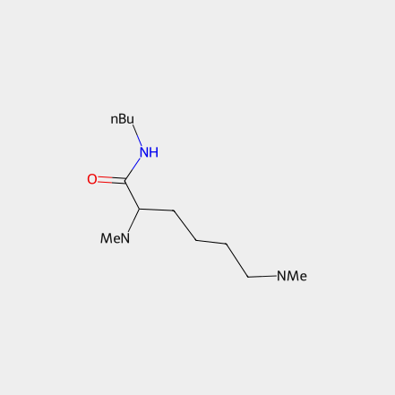 CCCCNC(=O)C(CCCCNC)NC